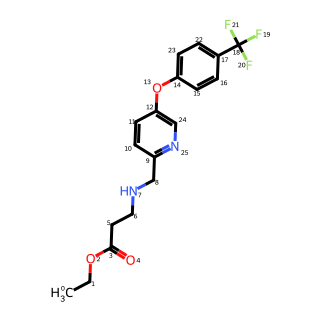 CCOC(=O)CCNCc1ccc(Oc2ccc(C(F)(F)F)cc2)cn1